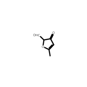 CC1=CC(=O)C(C=O)O1